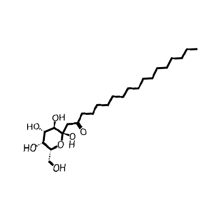 CCCCCCCCCCCCCCCCC(=O)C[C@]1(O)O[C@H](CO)[C@H](O)[C@H](O)[C@H]1O